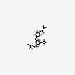 Cc1cnc(Nc2cc(N3CCC3)nc(Sc3ccc(NC(=O)C4CC4)cc3)n2)s1